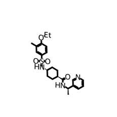 CCOc1ccc(S(=O)(=O)N[C@H]2CC[C@H](C(=O)N[C@H](C)c3cccnc3)CC2)cc1C